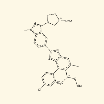 CO[C@H]1CCN(c2nn(C)c3ccc(-c4nc5cc(C)c([C@H](OC(C)(C)C)C(=O)O)c(-c6ccc(Cl)cc6)c5s4)cc23)C1